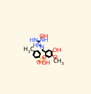 COc1ccc(/C=N/NC(=N)NO)cc1O.Cc1ccc(S(=O)(=O)O)cc1